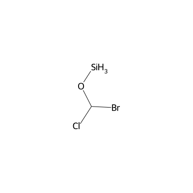 [SiH3]OC(Cl)Br